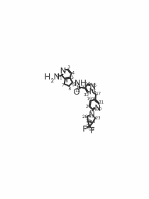 Nc1nccc2c1CC[C@H]2NC(=O)c1cnn(Cc2ccc(N3CC4C(C3)C4(F)F)nc2)c1